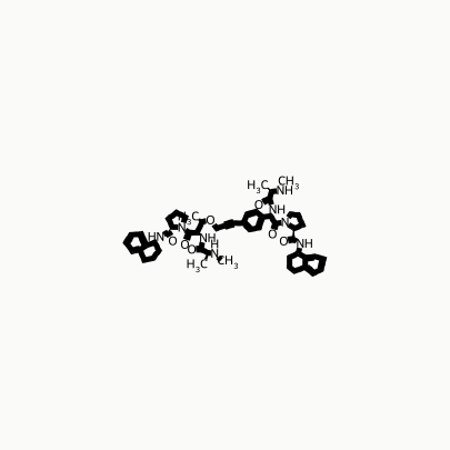 CN[C@@H](C)C(=O)N[C@H](C(=O)N1CCC[C@H]1C(=O)NC1CCCc2ccccc21)c1ccc(C#CCO[C@H](C)[C@H](NC(=O)[C@H](C)NC)C(=O)N2CCC[C@H]2C(=O)N[C@@H]2CCCc3ccccc32)cc1